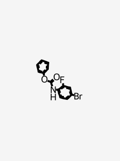 O=C(Nc1ccc(Br)cc1F)Oc1ccccc1